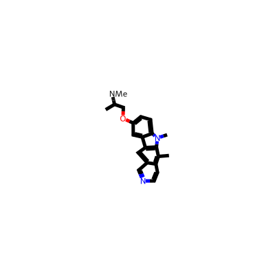 CNC(C)COc1ccc2c(c1)c1cc3cnccc3c(C)c1n2C